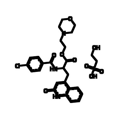 O=C(NC(Cc1cc(=O)[nH]c2ccccc12)C(=O)OCCN1CCOCC1)c1ccc(Cl)cc1.O=S(=O)(O)CCO